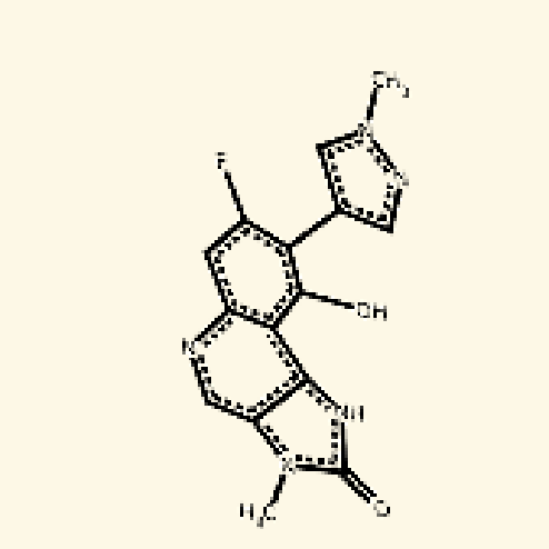 Cn1cc(-c2c(F)cc3ncc4c([nH]c(=O)n4C)c3c2O)cn1